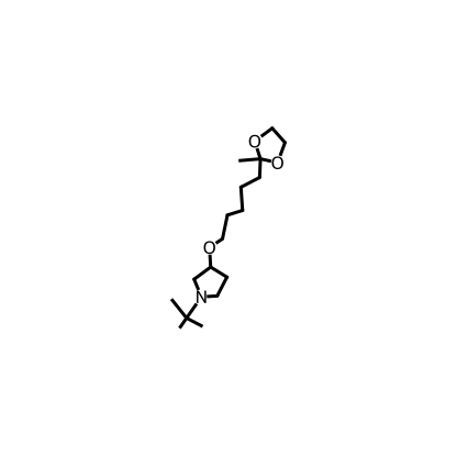 CC1(CCCCCOC2CCN(C(C)(C)C)C2)OCCO1